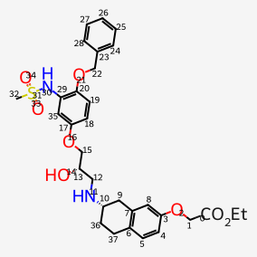 CCOC(=O)COc1ccc2c(c1)C[C@@H](NC[C@H](O)COc1ccc(OCc3ccccc3)c(NS(C)(=O)=O)c1)CC2